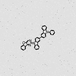 c1ccc(-n2c3ccccc3c3cc(-c4ccc5c(c4)c4ccccc4n5-c4ncc5oc6ccccc6c5n4)ccc32)cc1